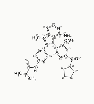 C=C(C)C(=O)Nc1ccc(-c2c(-c3ccc(C(=O)N4CCCC4)cc3OC)c3c(N)ncnc3n2C)cc1